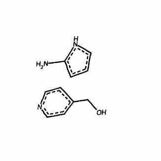 Nc1ccc[nH]1.OCc1ccncc1